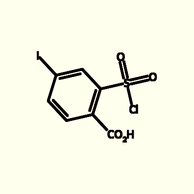 O=C(O)c1ccc(I)cc1S(=O)(=O)Cl